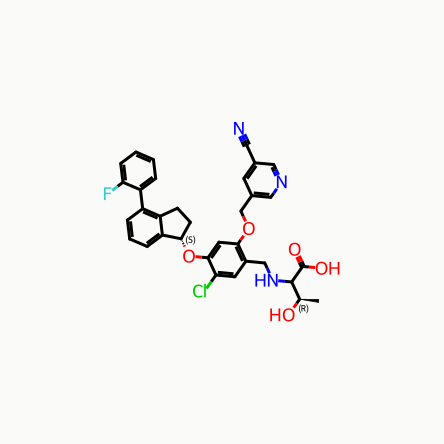 C[C@@H](O)C(NCc1cc(Cl)c(O[C@H]2CCc3c(-c4ccccc4F)cccc32)cc1OCc1cncc(C#N)c1)C(=O)O